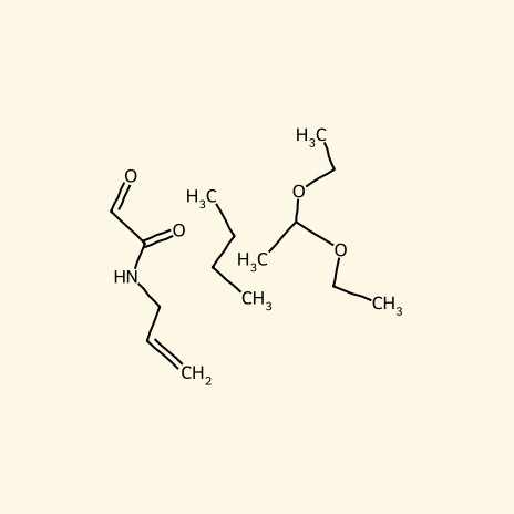 C=CCNC(=O)C=O.CCCC.CCOC(C)OCC